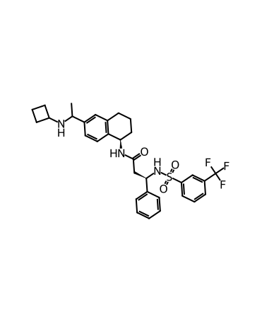 CC(NC1CCC1)c1ccc2c(c1)CCC[C@H]2NC(=O)C[C@@H](NS(=O)(=O)c1cccc(C(F)(F)F)c1)c1ccccc1